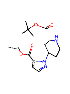 CC(C)(C)OC=O.CCOC(=O)c1ccnn1C1CCNCC1